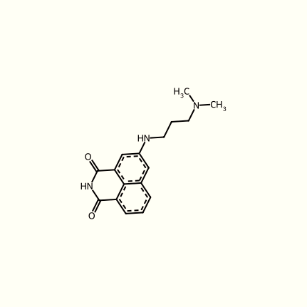 CN(C)CCCNc1cc2c3c(cccc3c1)C(=O)NC2=O